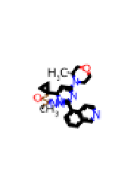 C[C@@H]1COCCN1c1cc(C2([S@](C)(=N)=O)CC2)nc(-c2cccc3cnccc23)n1